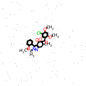 COc1ccccc1-c1c2c(nn1C)C[C@@H](C)[C@]1(Oc3c(Cl)c(OC)cc(OC)c3C1=O)C2=O